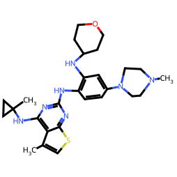 Cc1csc2nc(Nc3ccc(N4CCN(C)CC4)cc3NC3CCOCC3)nc(NC3(C)CC3)c12